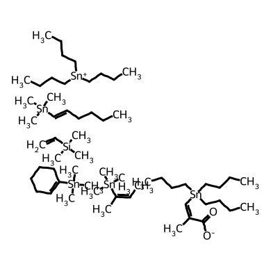 C=C[Si](C)(C)C.CC=[C](C)[Sn]([CH3])([CH3])[CH3].CCCCC=[CH][Sn]([CH3])([CH3])[CH3].CCC[CH2][Sn+]([CH2]CCC)[CH2]CCC.CCC[CH2][Sn]([CH]=C(C)C(=O)[O-])([CH2]CCC)[CH2]CCC.[CH3][Sn]([CH3])([CH3])[C]1=CCCCC1